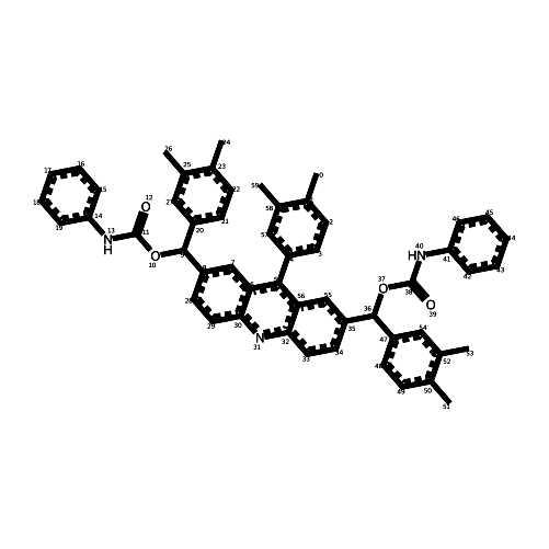 Cc1ccc(-c2c3cc(C(OC(=O)Nc4ccccc4)c4ccc(C)c(C)c4)ccc3nc3ccc(C(OC(=O)Nc4ccccc4)c4ccc(C)c(C)c4)cc23)cc1C